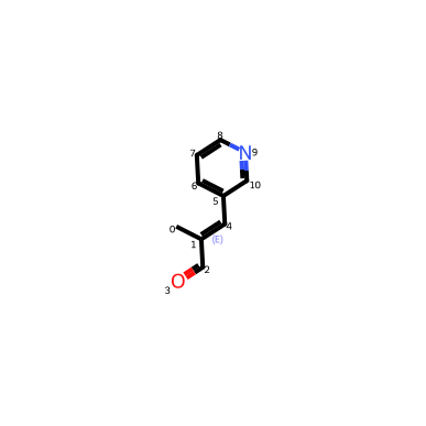 C/C(C=O)=C\c1cccnc1